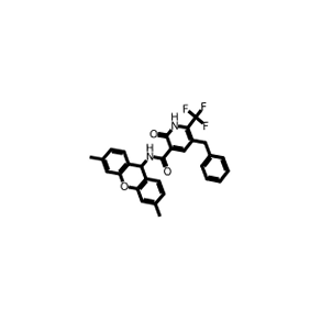 Cc1ccc2c(c1)Oc1cc(C)ccc1C2NC(=O)c1cc(Cc2ccccc2)c(C(F)(F)F)[nH]c1=O